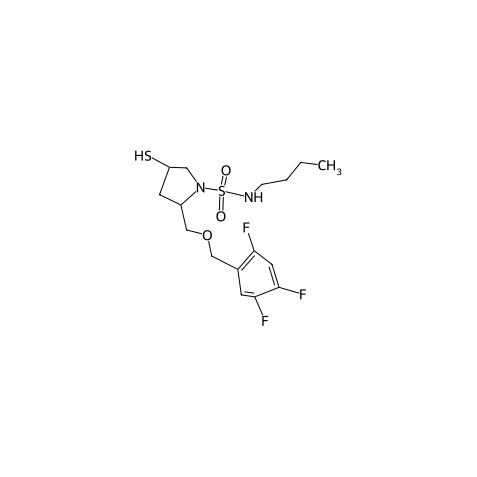 CCCCNS(=O)(=O)N1CC(S)CC1COCc1cc(F)c(F)cc1F